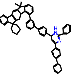 CC1(C)C2=CC3=C(CC2c2c(-c4cccc(-c5ccc(C6C=C(c7ccc(C8=CC=CCC8)cc7)N=C(c7ccccc7)N6)cc5)c4)cccc21)C1(CCCCC1)c1ccccc13